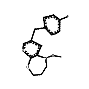 Fc1ccc(Cc2cnc3c(c2)N(SI)CCCO3)cc1